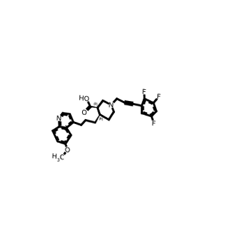 COc1ccc2nccc(CCC[C@@H]3CCN(CC#Cc4cc(F)cc(F)c4F)C[C@@H]3C(=O)O)c2c1